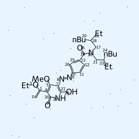 C=C(OCC)c1c(OC)c(/N=N/c2ccc(C(=O)N(CC(CC)CCCC)CC(CC)CCCC)cc2)c(O)[nH]c1=O